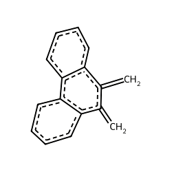 C=c1c(=C)c2ccccc2c2ccccc12